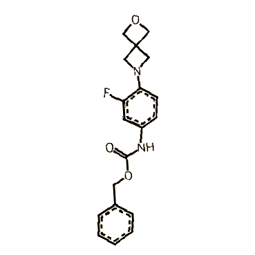 O=C(Nc1ccc(N2CC3(COC3)C2)c(F)c1)OCc1ccccc1